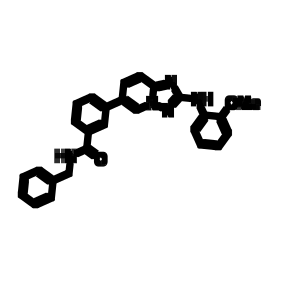 COc1ccccc1Nc1nc2ccc(-c3cccc(C(=O)NCc4ccccc4)c3)cn2n1